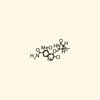 COc1cc2c(OC[C@H]3NC(=O)[C@@H]4[C@@H](C)[C@@H]43)c(Cl)cnc2cc1C(N)=O